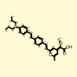 [C-]#[N+]/C(C(=O)O)=C1/C=C(C)OC(/C=C/c2ccc(/C=C/c3ccc(N(CCC)CCC)cc3)cc2)=C1